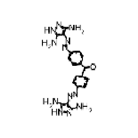 Nc1n[nH]c(N)c1N=Nc1ccc(C(=O)c2ccc(N=Nc3c(N)n[nH]c3N)cc2)cc1